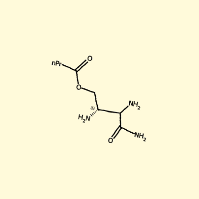 CCCC(=O)OC[C@@H](N)C(N)C(N)=O